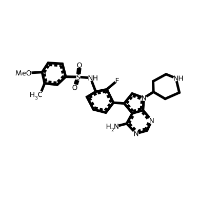 COc1ccc(S(=O)(=O)Nc2cccc(-c3cn(C4CCNCC4)c4ncnc(N)c34)c2F)cc1C